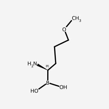 COCCC[C@H](N)B(O)O